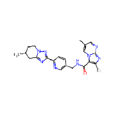 CCc1nc2ncc(C)cn2c1C(=O)NCc1ccc(-c2nc3n(n2)CCC(C(F)(F)F)C3)nc1